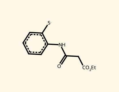 CCOC(=O)CC(=O)Nc1ccccc1[S]